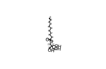 C=CCCCCCCCCC(=O)OCC(CO)(CO)CO